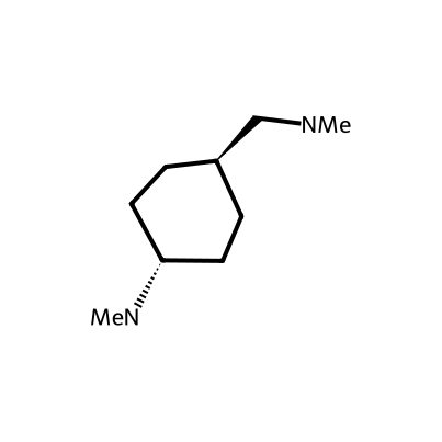 CNC[C@H]1CC[C@H](NC)CC1